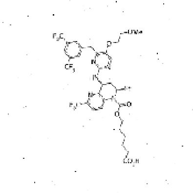 CC[C@@H]1C[C@H](Nc2ncc(OCCOC)c(Cc3cc(C(F)(F)F)cc(C(F)(F)F)c3)n2)c2nc(C(F)(F)F)ccc2N1C(=O)OCCCCCC(=O)O